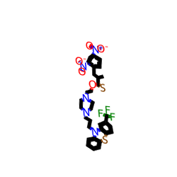 CC(Cc1ccc([N+](=O)[O-])cc1[N+](=O)[O-])C(=S)OCCN1CCN(CCCN2c3ccccc3Sc3ccc(C(F)(F)F)cc32)CC1